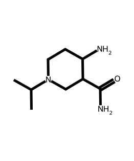 CC(C)N1CCC(N)C(C(N)=O)C1